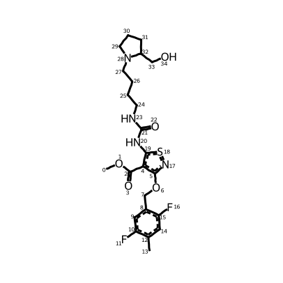 COC(=O)c1c(OCc2cc(F)c(C)cc2F)nsc1NC(=O)NCCCCN1CCCC1CO